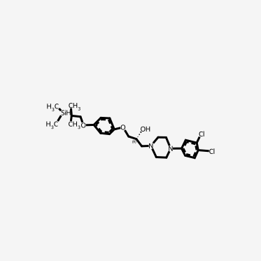 C[SiH](C)C(C)(C)COc1ccc(OC[C@H](O)CN2CCN(c3ccc(Cl)c(Cl)c3)CC2)cc1